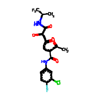 Cc1oc(C(=O)C(=O)N[C@H](C)C(F)(F)F)cc1C(=O)Nc1ccc(F)c(Cl)c1